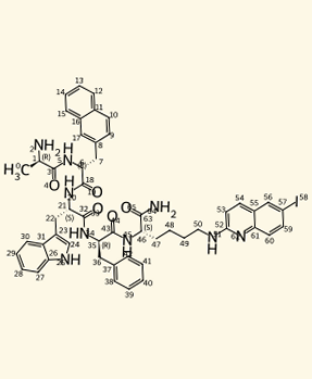 C[C@@H](N)C(=O)N[C@H](Cc1ccc2ccccc2c1)C(=O)N[C@@H](Cc1c[nH]c2ccccc12)C(=O)N[C@H](Cc1ccccc1)C(=O)N[C@@H](CCCCNc1ccc2cc(I)ccc2n1)C(N)=O